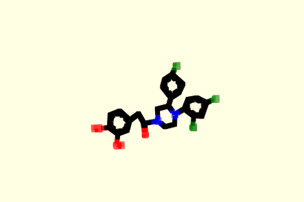 O=C(Cc1ccc(O)c(O)c1)N1CCN(c2ccc(Cl)cc2Cl)C(c2ccc(Cl)cc2)C1